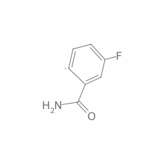 NC(=O)c1[c]ccc(F)c1